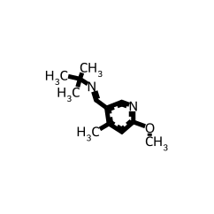 COc1cc(C)c(C=NC(C)(C)C)cn1